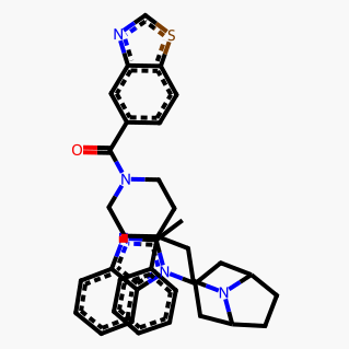 Cc1nc2ccccc2n1C1CC2CCC(C1)N2CCC1(c2ccccc2)CCN(C(=O)c2ccc3scnc3c2)CC1